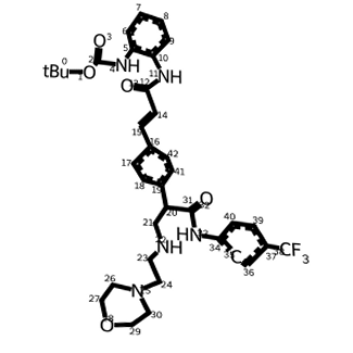 CC(C)(C)OC(=O)Nc1ccccc1NC(=O)/C=C/c1ccc(C(CNCCN2CCOCC2)C(=O)Nc2ccc(C(F)(F)F)cc2)cc1